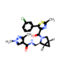 Cc1nc(C(=O)N2C[C@@H]3C[C@@H]3[C@H]2CNC(=O)c2cn(C)nc2C)c(-c2cccc(Cl)c2)s1